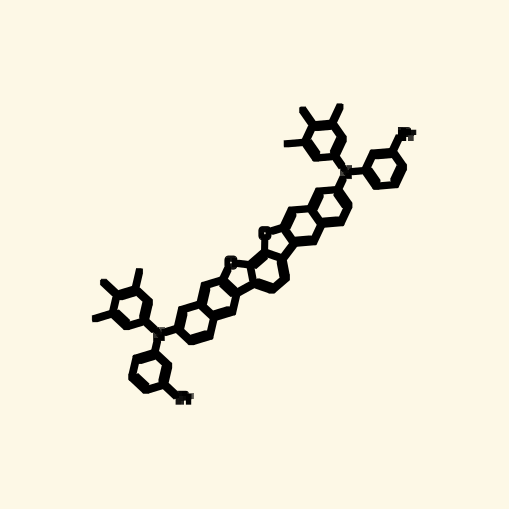 Cc1cc(N(c2cccc(C(C)C)c2)c2ccc3cc4c(cc3c2)oc2c4ccc3c4cc5ccc(N(c6cccc(C(C)C)c6)c6cc(C)c(C)c(C)c6)cc5cc4oc32)cc(C)c1C